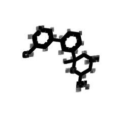 CC1(c2cccc(-c3cncc(Cl)c3)c2)CNCC(N)O1